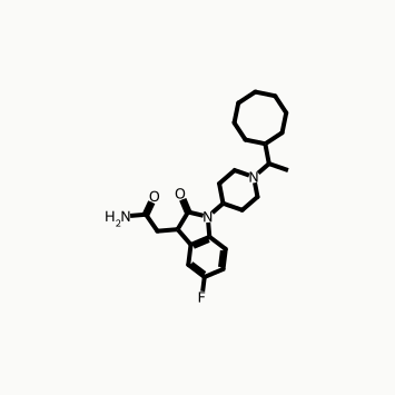 CC(C1CCCCCCC1)N1CCC(N2C(=O)C(CC(N)=O)c3cc(F)ccc32)CC1